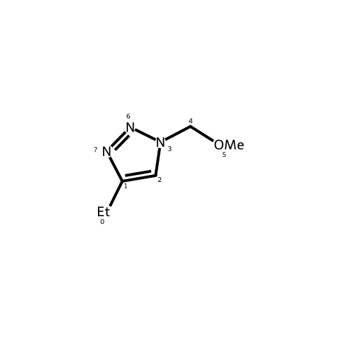 CCc1cn(COC)nn1